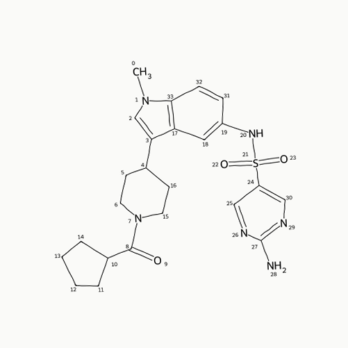 Cn1cc(C2CCN(C(=O)C3CCCC3)CC2)c2cc(NS(=O)(=O)c3cnc(N)nc3)ccc21